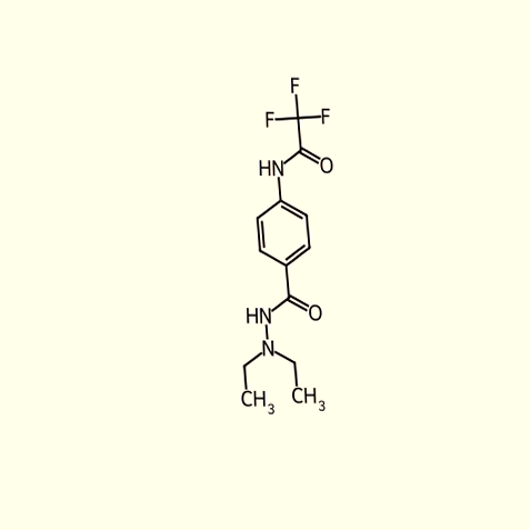 CCN(CC)NC(=O)c1ccc(NC(=O)C(F)(F)F)cc1